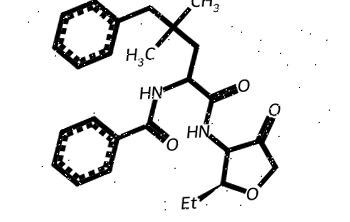 CC[C@@H]1OCC(=O)C1NC(=O)C(CC(C)(C)Cc1ccccc1)NC(=O)c1ccccc1